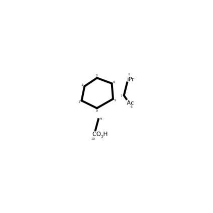 C1CCCCC1.CC(=O)CC(C)C.CC(=O)O